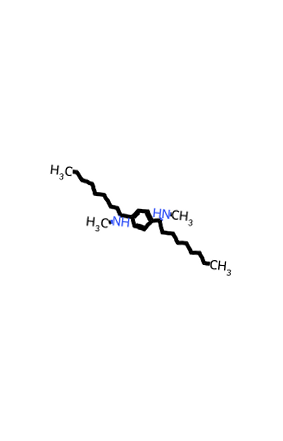 CCCCCCCCC(NC)c1ccc(C(CCCCCCCC)NC)cc1